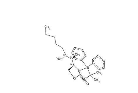 CCCCC[C@@H](O)[C@@H](O)[C@@H]1COC(=O)N1[Si](c1ccccc1)(c1ccccc1)C(C)(C)C